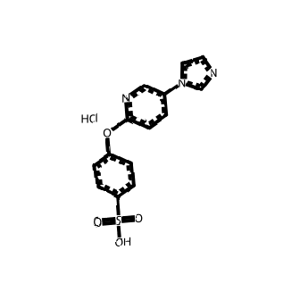 Cl.O=S(=O)(O)c1ccc(Oc2ccc(-n3ccnc3)cn2)cc1